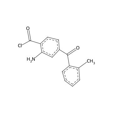 Cc1ccccc1C(=O)c1ccc(C(=O)Cl)c(N)c1